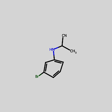 CC(C#N)Nc1cccc(Br)c1